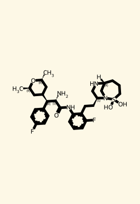 C[C@@H]1CC([C@H](c2ccc(F)cc2)[C@H](N)C(=O)Nc2cccc(F)c2CC[C@H]2CN[C@@H]3CCCS(O)(O)N2C3)C[C@@H](C)O1